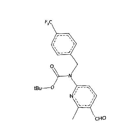 Cc1nc(N(Cc2ccc(C(F)(F)F)cc2)C(=O)OC(C)(C)C)ccc1C=O